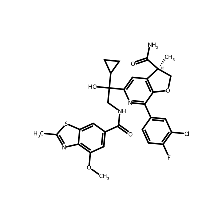 COc1cc(C(=O)NCC(O)(c2cc3c(c(-c4ccc(F)c(Cl)c4)n2)OC[C@]3(C)C(N)=O)C2CC2)cc2sc(C)nc12